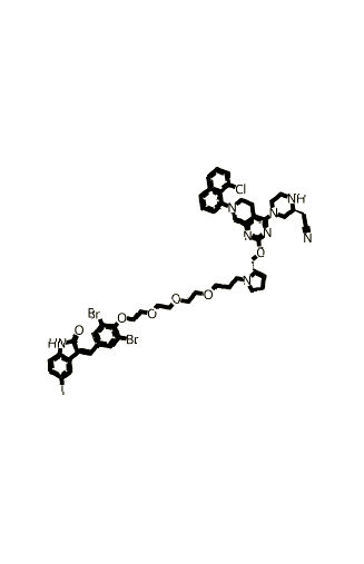 N#CC[C@H]1CN(c2nc(OC[C@@H]3CCCN3CCCOCCOCCOCCOc3c(Br)cc(C=C4C(=O)Nc5ccc(I)cc54)cc3Br)nc3c2CCN(c2cccc4cccc(Cl)c24)C3)CCN1